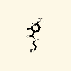 Cc1nc(C(F)(F)F)ccc1C(=O)NCCC(C)C